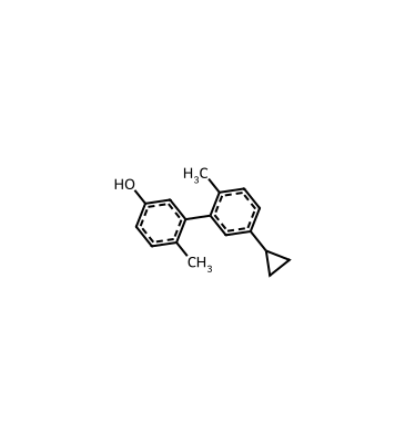 Cc1ccc(O)cc1-c1cc(C2CC2)ccc1C